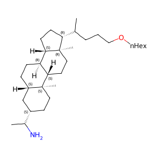 CCCCCCOCCCC(C)[C@H]1CC[C@H]2[C@@H]3CC[C@H]4C[C@@H](C(C)N)CC[C@]4(C)[C@H]3CC[C@]12C